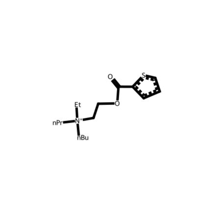 CCCC[N+](CC)(CCC)CCOC(=O)c1cccs1